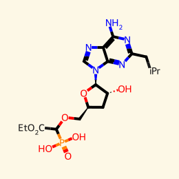 CCOC(=O)C(OC[C@@H]1C[C@@H](O)[C@H](n2cnc3c(N)nc(CC(C)C)nc32)O1)P(=O)(O)O